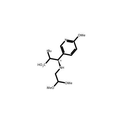 COc1ccc([C@@H](NCC(OC)OC)C(C(=O)O)C(C)(C)C)cn1